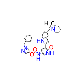 C[C@@H]1CCCCN1Cc1ccc2[nH]c(-c3cc(NC(=O)Oc4cnn(Cc5ccccc5)c4)c[nH]c3=O)cc2c1